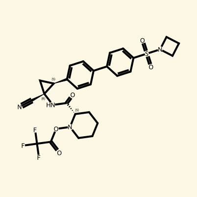 N#C[C@@]1(NC(=O)[C@@H]2CCCCN2OC(=O)C(F)(F)F)C[C@H]1c1ccc(-c2ccc(S(=O)(=O)N3CCC3)cc2)cc1